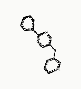 c1ccc(-c2ncc(Cc3cccnc3)cn2)cc1